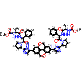 CC(C)[C@H](NC(=O)OC(C)(C)C)C(=O)N[C@@H](C(=O)N1CCC[C@H]1c1ncc(-c2cc3c4c(c2)OCc2cc(-c5cnc([C@@H]6CCCN6C(=O)[C@H](NC(=O)[C@@H](NC(=O)OC(C)(C)C)C(C)C)C6C=CC=CC6)[nH]5)cc(c2-4)OC3)[nH]1)c1ccccc1